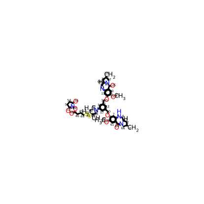 C=C1C[C@H]2CNc3cc(OCc4cc(COc5cc6c(cc5OC)C(=O)N5CC(=C)C[C@H]5C=N6)cc(N(C)CC(C)(C)SSCCCC(=O)ON5C(=O)CCC5=O)c4)c(OC)cc3C(=O)N2C1